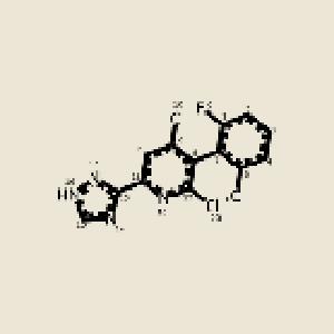 Fc1cccc(Cl)c1-c1c(Cl)cc(-c2nc[nH]n2)nc1Cl